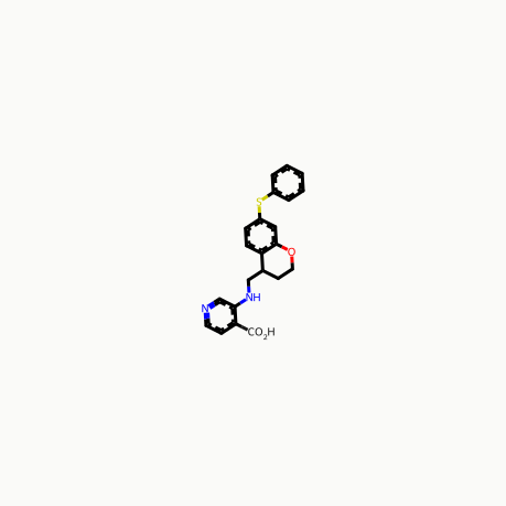 O=C(O)c1ccncc1NCC1CCOc2cc(Sc3ccccc3)ccc21